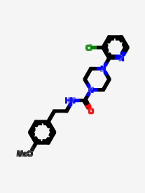 COc1ccc(CCNC(=O)N2CCN(c3ncccc3Cl)CC2)cc1